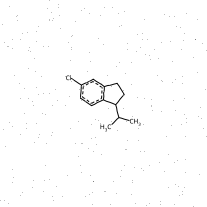 CC(C)C1CCc2cc(Cl)ccc21